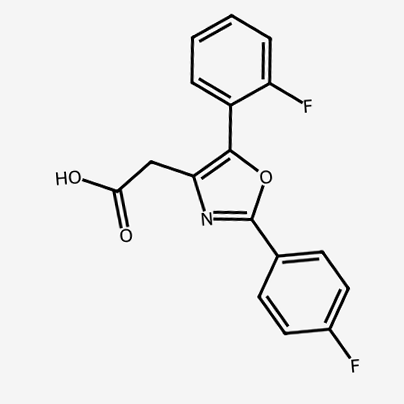 O=C(O)Cc1nc(-c2ccc(F)cc2)oc1-c1ccccc1F